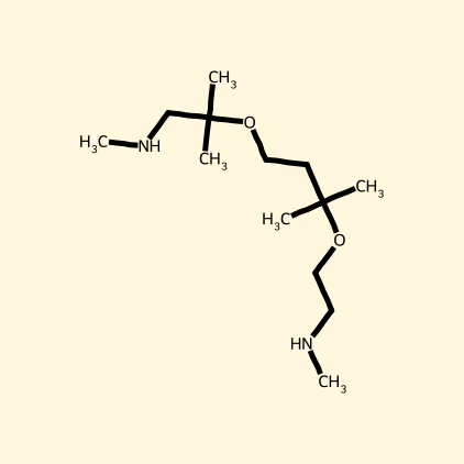 CNCCOC(C)(C)CCOC(C)(C)CNC